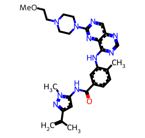 C=C(C)c1cc(NC(=O)c2ccc(C)c(Nc3ncnc4cnc(N5CCN(CCOC)CC5)nc34)c2)n(C)n1